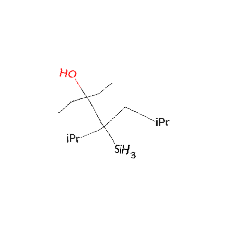 CC(C)CC([SiH3])(C(C)C)C(C)(C)O